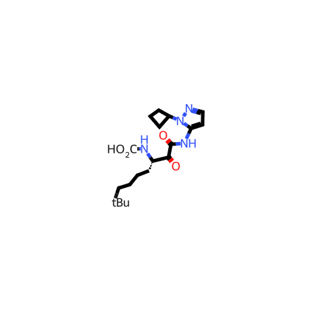 CC(C)(C)CCCC[C@H](NC(=O)O)C(=O)C(=O)Nc1ccnn1C1CCC1